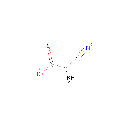 N#CCC(=O)O.[KH]